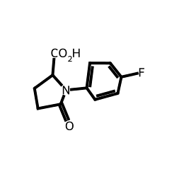 O=C(O)C1CCC(=O)N1c1ccc(F)cc1